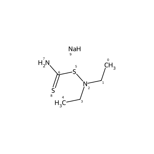 CCN(CC)SC(N)=S.[NaH]